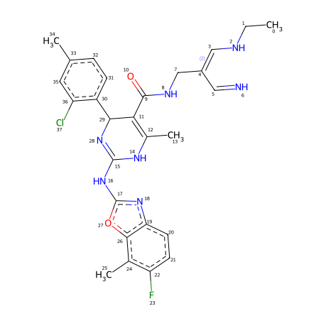 CCN/C=C(\C=N)CNC(=O)C1=C(C)NC(Nc2nc3ccc(F)c(C)c3o2)=NC1c1ccc(C)cc1Cl